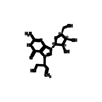 C=CC(CO)[n+]1cn([C@@H]2O[C@H](CO)[C@@H](O)[C@H]2O)c2nc(N)[nH]c(=O)c21